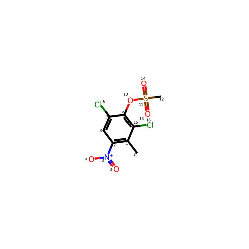 Cc1c([N+](=O)[O-])cc(Cl)c(OS(C)(=O)=O)c1Cl